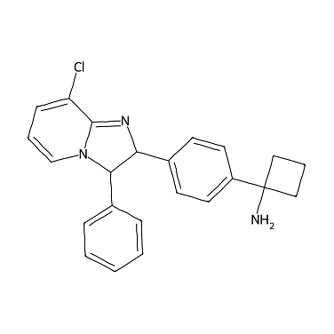 NC1(c2ccc(C3N=C4C(Cl)=CC=CN4C3c3ccccc3)cc2)CCC1